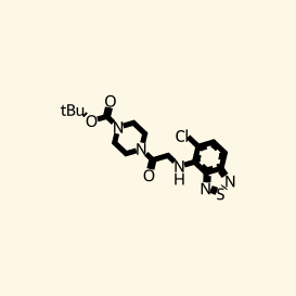 CC(C)(C)OC(=O)N1CCN(C(=O)CNc2c(Cl)ccc3nsnc23)CC1